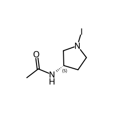 CC(=O)N[C@H]1CCN(I)C1